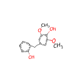 COc1cc(Cc2ccccc2O)cc(OC)c1O